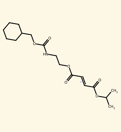 CC(C)OC(=O)/C=C/C(=O)OCCNC(=O)OCC1CCCCC1